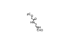 CC(C)OCC(=O)NCCNC=O